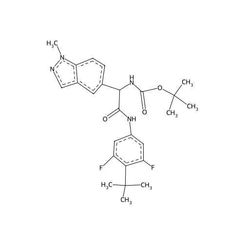 Cn1ncc2cc(C(NC(=O)OC(C)(C)C)C(=O)Nc3cc(F)c(C(C)(C)C)c(F)c3)ccc21